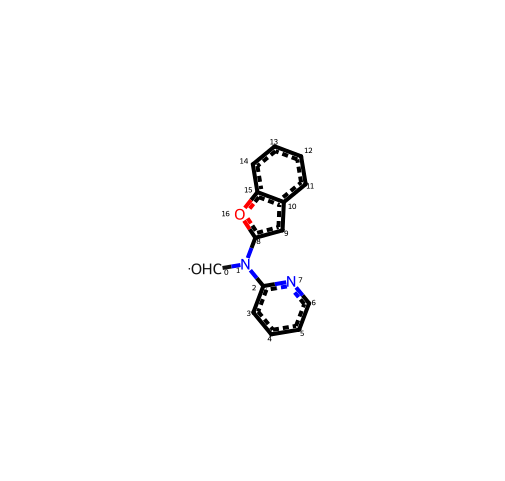 O=[C]N(c1ccccn1)c1cc2ccccc2o1